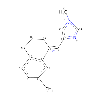 Cc1ccc2c(c1)/C(=C/c1cn(C)cn1)CCC2